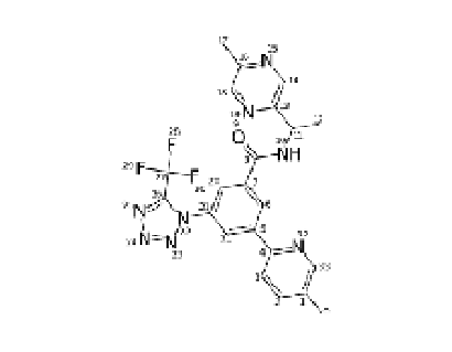 Cc1ccc(-c2cc(C(=O)NC(C)c3cnc(C)cn3)cc(-n3nnnc3C(F)(F)F)c2)nc1